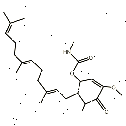 CNC(=O)OC1C=C(OC)C(=O)C(C)C1C/C=C(\C)CC/C=C(\C)CCC=C(C)C